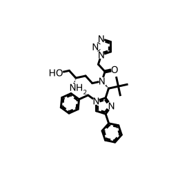 CC(C)(C)[C@H](c1nc(-c2ccccc2)cn1Cc1ccccc1)N(CC[C@H](N)CO)C(=O)Cn1ccnn1